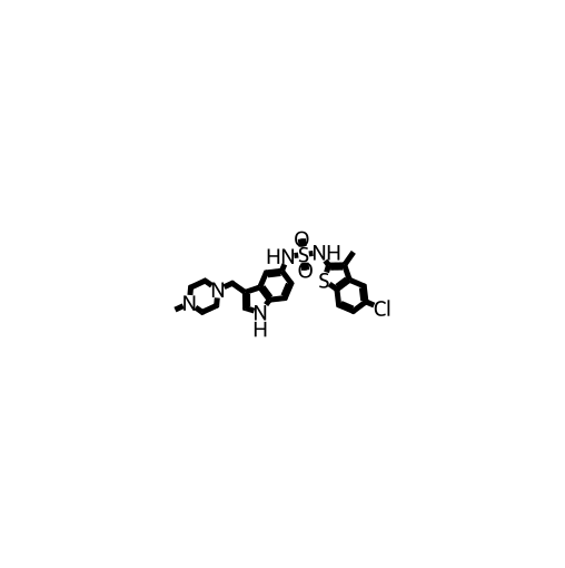 Cc1c(NS(=O)(=O)Nc2ccc3[nH]cc(CN4CCN(C)CC4)c3c2)sc2ccc(Cl)cc12